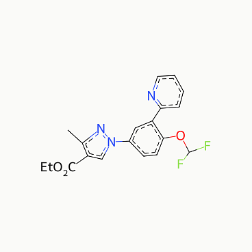 CCOC(=O)c1cn(-c2ccc(OC(F)F)c(-c3ccccn3)c2)nc1C